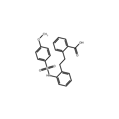 COc1ccc(S(=O)(=O)Nc2ccccc2CCc2ccccc2C(=O)O)cc1